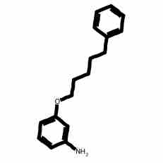 Nc1cccc(OCCCCCc2ccccc2)c1